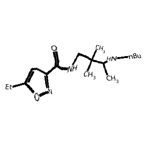 CCCCNC(C)C(C)(C)CNC(=O)c1cc(CC)on1